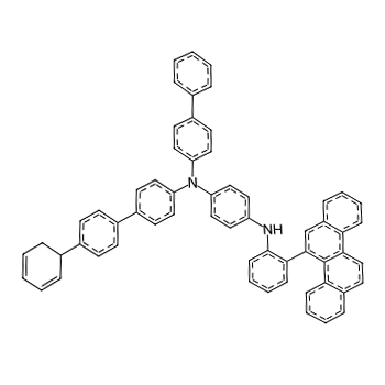 C1=CCC(c2ccc(-c3ccc(N(c4ccc(Nc5ccccc5-c5cc6ccccc6c6ccc7ccccc7c56)cc4)c4ccc(-c5ccccc5)cc4)cc3)cc2)C=C1